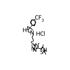 Cc1nc(C)c(-c2nnc(SCCCN3C[C@@H]4C[C@]4(c4ccc(C(F)(F)F)cc4)C3)n2C)s1.Cl